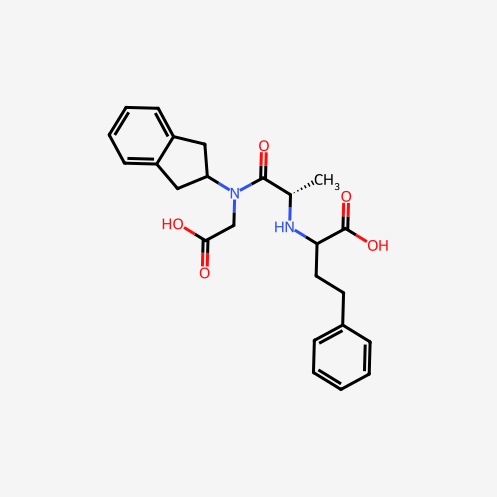 C[C@H](NC(CCc1ccccc1)C(=O)O)C(=O)N(CC(=O)O)C1Cc2ccccc2C1